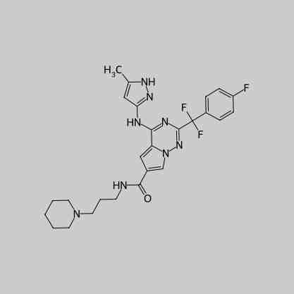 Cc1cc(Nc2nc(C(F)(F)c3ccc(F)cc3)nn3cc(C(=O)NCCCN4CCCCC4)cc23)n[nH]1